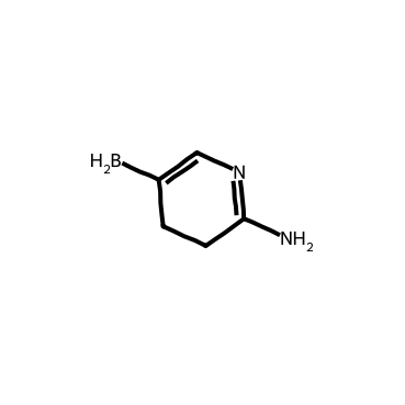 BC1=CN=C(N)CC1